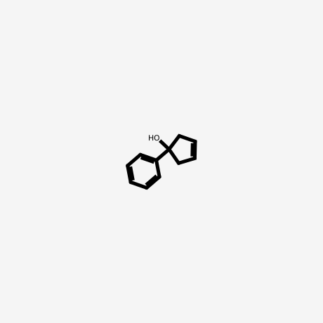 OC1(c2ccccc2)CC=CC1